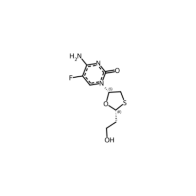 Nc1nc(=O)n([C@@H]2CS[C@H](CCO)O2)cc1F